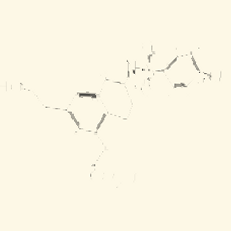 O=C(O)CCc1cc(CCO)cc2c1CCC(NS(=O)(=O)c1ccc(Cl)cc1)C2